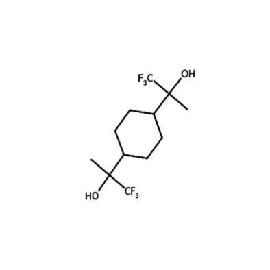 CC(O)(C1CCC(C(C)(O)C(F)(F)F)CC1)C(F)(F)F